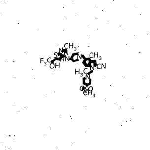 Cc1nc(NC2CCN(Cc3ccc4c(cc(C#N)n4C[C@H](C)N4CCC(S(C)(=O)=O)CC4)c3C)CC2)c2cc(C(O)C(F)(F)F)sc2n1